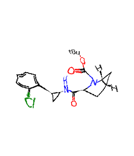 CC(C)(C)OC(=O)N1[C@@H]2C[C@@H]2C[C@H]1C(=O)N[C@@H]1C[C@H]1c1ccccc1Cl